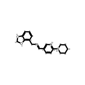 C(=N\Cc1cccc2c1OCO2)/c1ccc(N2CCCCC2)nc1